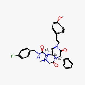 COc1ccc(CCN2C[C@H]3N(C(=O)CN(C)N3C(=O)NCc3ccc(F)cc3)[C@@H](c3ccccc3)C2=O)cc1